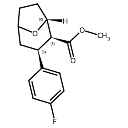 COC(=O)[C@H]1[C@@H](c2ccc(F)cc2)CC2CC[C@H]1O2